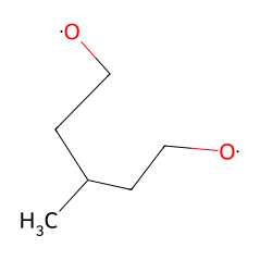 CC(CC[O])CC[O]